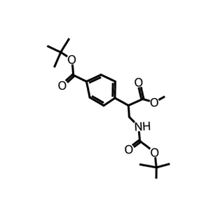 COC(=O)C(CNC(=O)OC(C)(C)C)c1ccc(C(=O)OC(C)(C)C)cc1